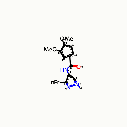 CCCc1nn(C)cc1NC(=O)c1ccc(OC)c(OC)c1